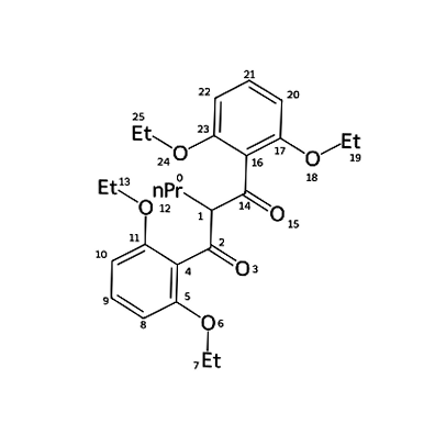 CCCC(C(=O)c1c(OCC)cccc1OCC)C(=O)c1c(OCC)cccc1OCC